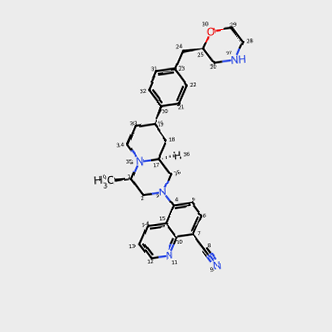 C[C@@H]1CN(c2ccc(C#N)c3ncccc23)C[C@@H]2C[C@H](c3ccc(C[C@@H]4CNCCO4)cc3)CCN21